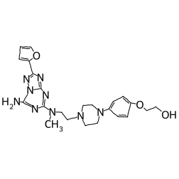 CN(CCN1CCN(c2ccc(OCCO)cc2)CC1)c1nc(N)n2nc(-c3ccco3)nc2n1